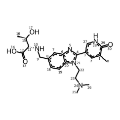 Cc1cc(-c2nc3cc(CN[C@H](C(=O)O)[C@@H](C)O)ccc3n2CCN(C)C)c[nH]c1=O